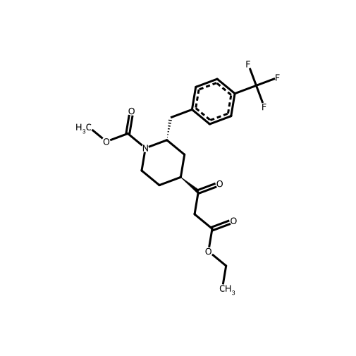 CCOC(=O)CC(=O)[C@H]1CCN(C(=O)OC)[C@H](Cc2ccc(C(F)(F)F)cc2)C1